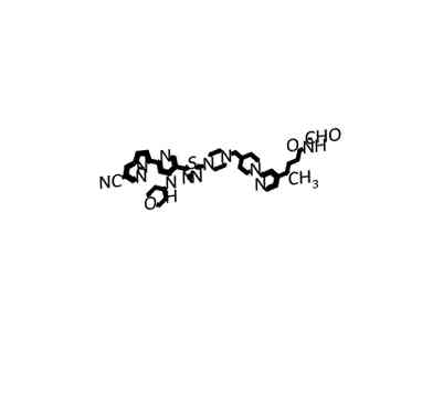 CC(CCC(=O)NC=O)c1ccnc(N2CCC(CN3CCN(c4nnc(-c5cnc(-c6ccc7cc(C#N)cnn67)cc5NC5CCOCC5)s4)CC3)CC2)c1